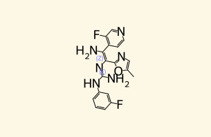 Cc1cnc(C(/N=C(\N)Nc2cccc(F)c2)=C(/N)c2ccncc2F)o1